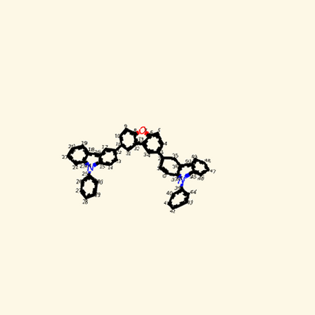 C1=CC(c2ccc3oc4ccc(-c5ccc6c(c5)c5ccccc5n6-c5ccccc5)cc4c3c2)Cc2c1n(-c1ccccc1)c1ccccc21